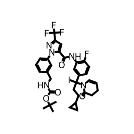 CC(C)(C)OC(=O)NCc1cccc(-n2nc(C(F)(F)F)cc2C(=O)Nc2cc(C(I)(CCC3CC3)N3C=CCCC3=O)ccc2F)c1